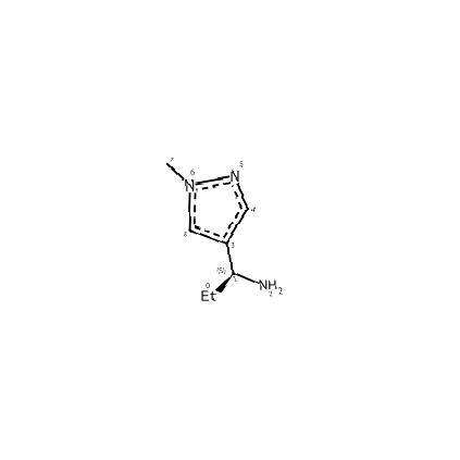 CC[C@H](N)c1cnn(C)c1